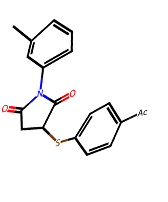 CC(=O)c1ccc(SC2CC(=O)N(c3cccc(C)c3)C2=O)cc1